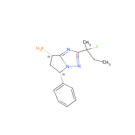 CCC(C)(F)c1nc2n(n1)[C@H](c1ccccc1)C[C@@H]2P